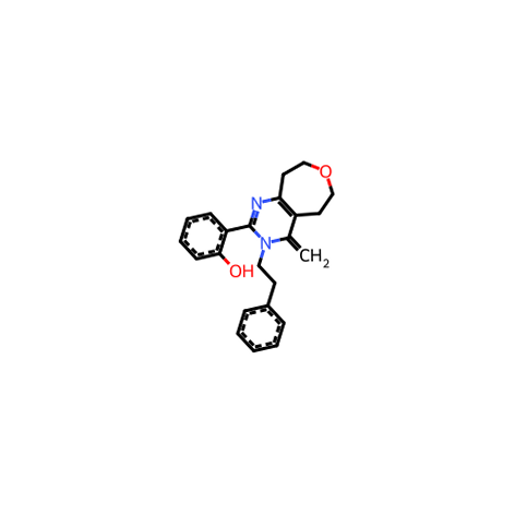 C=C1C2=C(CCOCC2)N=C(c2ccccc2O)N1CCc1ccccc1